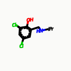 CC(C)NCc1cc(Cl)cc(Cl)c1O